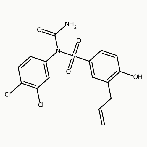 C=CCc1cc(S(=O)(=O)N(C(N)=O)c2ccc(Cl)c(Cl)c2)ccc1O